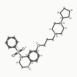 O=S(=O)(c1ccccc1)N1CCSc2ccc(OCCCN3CCN(C4CCCC4)CC3)cc21